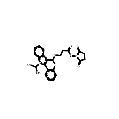 CCCC(N)n1c2c(c3ccccc31)C(SCCC(=O)ON1C(=O)CCC1=O)Sc1ccccc1-2